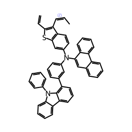 C=Cc1sc2cc(N(c3cccc(-c4cccc5c6ccccc6n(-c6ccccc6)c45)c3)c3cc4ccccc4c4ccccc34)ccc2c1/C=C\C